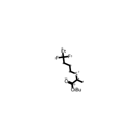 CCC(F)(F)CCCSC(C)C(=O)OCC(C)C